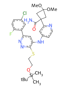 COC1(OC)CC(C(N)=O)(c2cc(Nc3cc(-c4cc(Cl)ccc4F)nnc3SCCO[Si](C)(C)C(C)(C)C)ccn2)C1